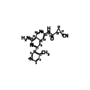 Cc1ccncc1-c1cc2cc(NC(=O)C3CC3C#N)ncc2c(N)n1